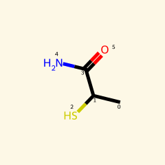 CC(S)C(N)=O